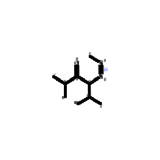 C/N=N\C(C(=O)C(C)C)C(C)C